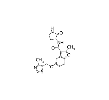 Cc1ncsc1COc1ccc2oc(C)c(C(=O)NC3CCNC3=O)c2c1